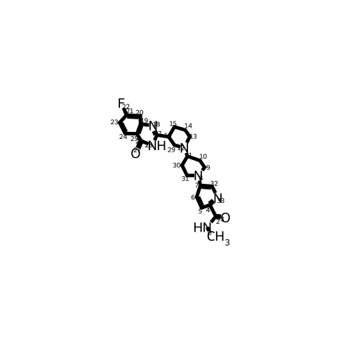 CNC(=O)c1ccc(N2CCC(N3CCCC(c4nc5cc(F)ccc5c(=O)[nH]4)C3)CC2)cn1